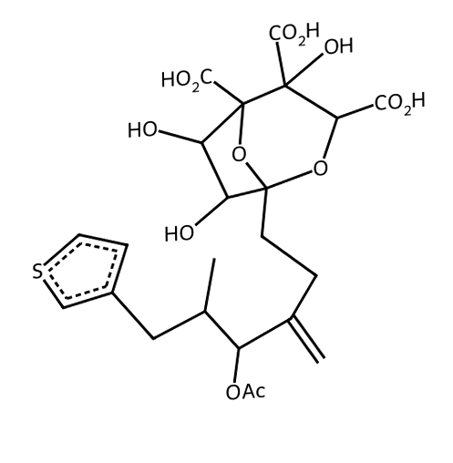 C=C(CCC12OC(C(=O)O)C(O)(C(=O)O)C(C(=O)O)(O1)C(O)C2O)C(OC(C)=O)C(C)Cc1ccsc1